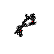 c1ccc(-c2cc(-c3ccc(-c4ccc5c6cc(-c7ccc8oc9cccc(-c%10ccccc%10-c%10nc(-c%11ccccc%11)nc(-c%11ccccc%11)n%10)c9c8c7)ccc6n(-c6ccccc6)c5c4)cc3)nc(-c3cccc(-c4cccc5oc6ccc(-c7ccc8c(c7)c7ccccc7n8-c7ccccc7)cc6c45)c3)n2)cc1